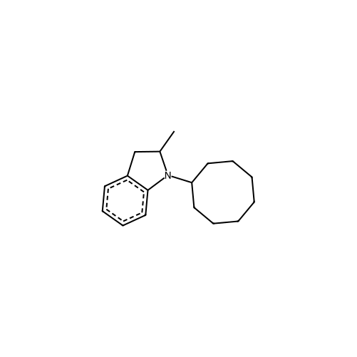 CC1Cc2ccccc2N1C1CCCCCCC1